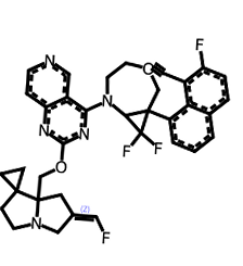 C#Cc1c(F)ccc2cccc(C34COCCN(c5nc(OCC67C/C(=C/F)CN6CCC76CC6)nc6ccncc56)C3C4(F)F)c12